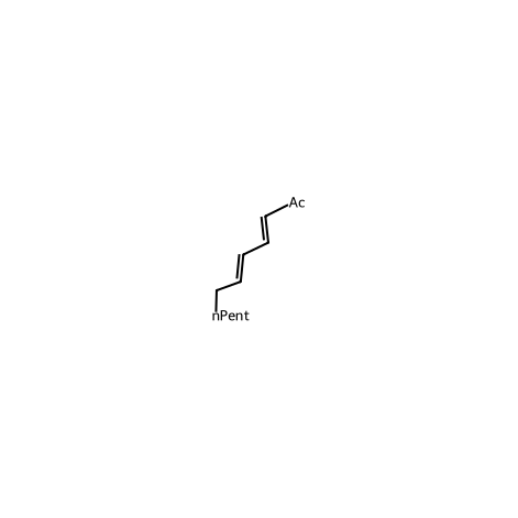 CCCCCCC=CC=CC(C)=O